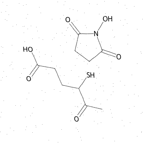 CC(=O)C(S)CCC(=O)O.O=C1CCC(=O)N1O